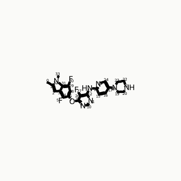 Cc1cc2c(F)c(Oc3ncnc(Nc4ccc(N5CCNCC5)cn4)c3F)cc(F)c2n1C